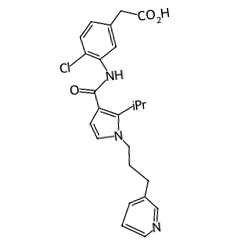 CC(C)c1c(C(=O)Nc2cc(CC(=O)O)ccc2Cl)ccn1CCCc1cccnc1